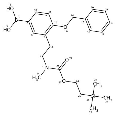 CN(CCc1cc(B(O)O)ccc1OCc1ccccc1)C(=O)OCC[Si](C)(C)C